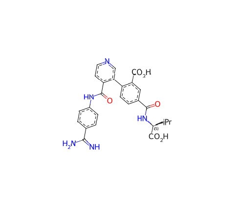 CC(C)[C@H](NC(=O)c1ccc(-c2cnccc2C(=O)Nc2ccc(C(=N)N)cc2)c(C(=O)O)c1)C(=O)O